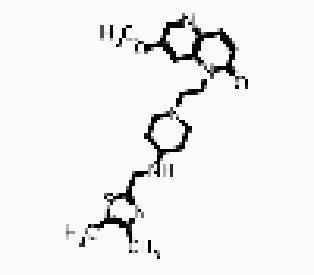 COc1cnc2ccc(=O)n(CCN3CCC(NCc4nc(C)c(C)s4)CC3)c2c1